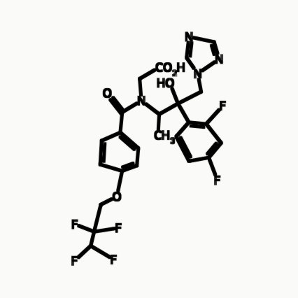 CC(N(CC(=O)O)C(=O)c1ccc(OCC(F)(F)C(F)F)cc1)C(O)(Cn1cncn1)c1ccc(F)cc1F